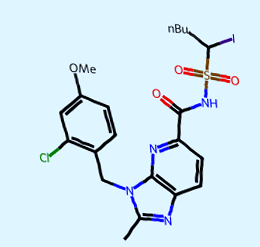 CCCCC(I)S(=O)(=O)NC(=O)c1ccc2nc(C)n(Cc3ccc(OC)cc3Cl)c2n1